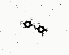 Fc1cc(F)c(SSc2cc(F)c(F)cc2F)cc1F